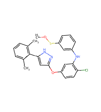 COSc1cccc(Nc2cc(Oc3cc(-c4c(C)cccc4C)[nH]n3)ccc2Cl)c1